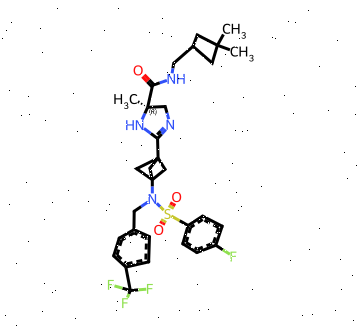 CC1(C)CC(CNC(=O)[C@@]2(C)CN=C(C34CC(N(Cc5ccc(C(F)(F)F)cc5)S(=O)(=O)c5ccc(F)cc5)(C3)C4)N2)C1